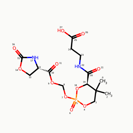 CC1(C)COP(=O)(OCOC(=O)[C@@H]2COC(=O)N2)O[C@H]1C(=O)NCCC(=O)O